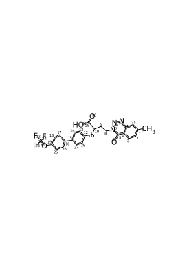 Cc1ccc2c(=O)n(CCC(Sc3ccc(-c4ccc(OC(F)(F)F)cc4)cc3)C(=O)O)nnc2c1